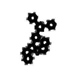 c1ccc(-c2nc(-c3ccccc3)nc(-c3ccc(-c4cc5ccc6ccccc6c5c5oc6ccc7ccccc7c6c45)cc3)n2)cc1